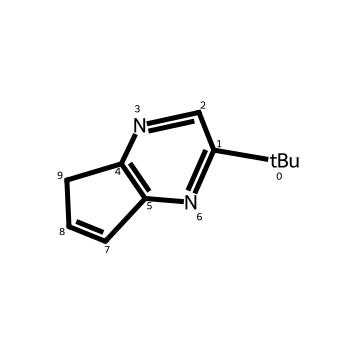 CC(C)(C)c1cnc2c(n1)C=CC2